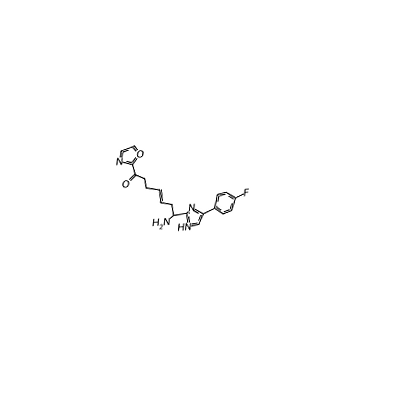 NC(C/C=C/CCC(=O)c1ncco1)c1nc(-c2ccc(F)cc2)c[nH]1